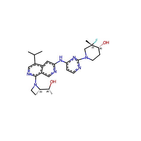 CC(C)c1cnc(N2CC[C@H]2[C@@H](C)O)c2cnc(Nc3ccnc(N4CC[C@@H](O)[C@@](C)(F)C4)n3)cc12